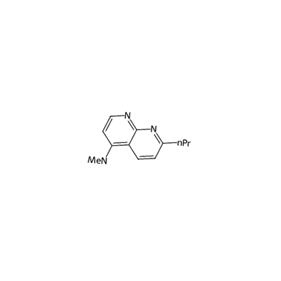 CCCc1ccc2c(NC)ccnc2n1